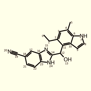 CCc1cc(C)c2[nH]ccc2c1C(O)c1nc2cc(C#N)ccc2[nH]1